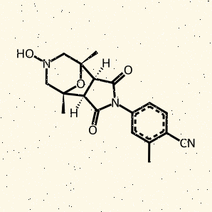 Cc1cc(N2C(=O)[C@@H]3[C@H](C2=O)[C@@]2(C)CN(O)C[C@]3(C)O2)ccc1C#N